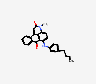 CCCCc1ccc(Nc2ccc3c4c(cc(=O)n3C)-c3ccccc3C(=O)c24)cc1